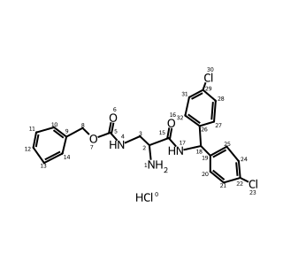 Cl.NC(CNC(=O)OCc1ccccc1)C(=O)NC(c1ccc(Cl)cc1)c1ccc(Cl)cc1